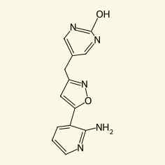 Nc1ncccc1-c1cc(Cc2cnc(O)nc2)no1